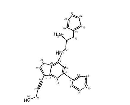 N[C@H](CNc1nc(-c2ccncc2)nc2c(C#CCO)csc12)Cc1ccccc1